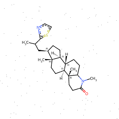 CC(C[C@H]1CC[C@H]2[C@@H]3CCC4N(C)C(=O)CC[C@]4(C)[C@H]3CC[C@]12C)c1nccs1